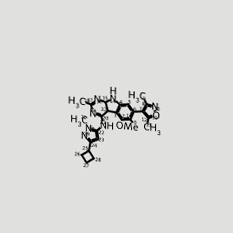 COc1cc2c(cc1-c1c(C)noc1C)NC1N=C(C)N=C(Nc3cc(C4CCC4)nn3C)C21